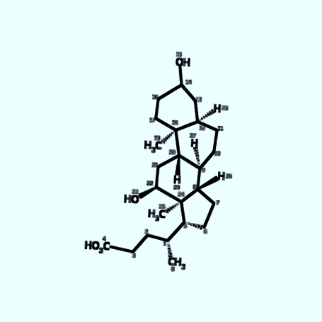 C[C@H](CCC(=O)O)[C@H]1CC[C@H]2[C@@H]3CC[C@@H]4CC(O)CC[C@]4(C)[C@H]3C[C@H](O)[C@]12C